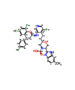 Cc1ccc2nc(C3COC(CCc4c(F)cncc4NC(=O)C[C@@H](c4ccc(F)cc4)c4cc(F)cc(F)c4)CN3C(=O)O)[nH]c2c1